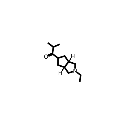 CCN1C[C@H]2CC(C(=O)C(C)C)C[C@H]2C1